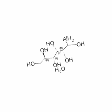 O.OC[C@@H](O)[C@@H](O)[C@H](O)[C@@H](O)[CH](O)[AlH2]